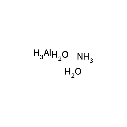 N.O.O.[AlH3]